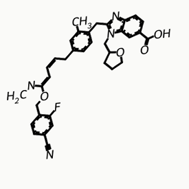 C=N/C(=C\C=C/Cc1ccc(Cc2nc3ccc(C(=O)O)cc3n2CC2CCCO2)c(C)c1)OCc1ccc(C#N)cc1F